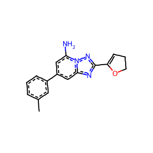 Cc1cccc(-c2cc(N)n3nc(C4=CCCO4)nc3c2)c1